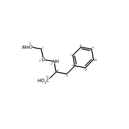 COCONC(Cc1ccccc1)C(=O)O